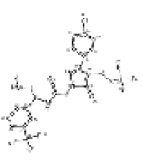 CNCC(NC(=O)Cn1nc(-c2ccc(Cl)cc2)n(CCC(F)(F)F)c1=O)c1cccc(C(F)(F)F)c1